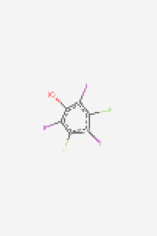 Oc1c(I)c(F)c(I)c(F)c1I